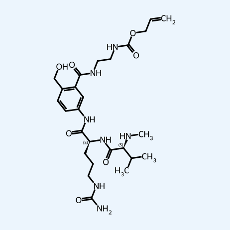 C=CCOC(=O)NCCNC(=O)c1cc(NC(=O)[C@H](CCCNC(N)=O)NC(=O)[C@@H](NC)C(C)C)ccc1CO